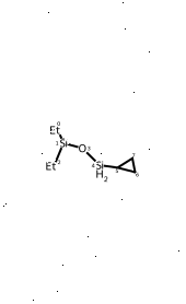 CC[Si](CC)O[SiH2]C1CC1